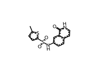 Cc1ccc(S(=O)(=O)Nc2ccc3cc[nH]c(=O)c3c2)s1